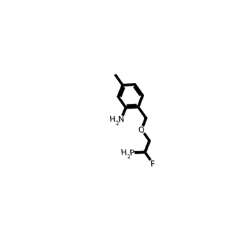 Cc1ccc(COCC(F)P)c(N)c1